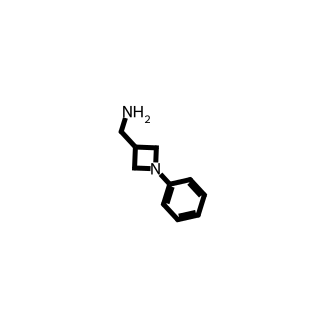 NCC1CN(c2ccccc2)C1